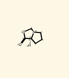 O=C1OCN2CCC[C@@H]12